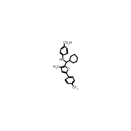 Cc1cc(-c2ccc(C(F)(F)F)cc2)oc1C(Nc1ccc(C(=O)O)cc1)C1CCCCC1